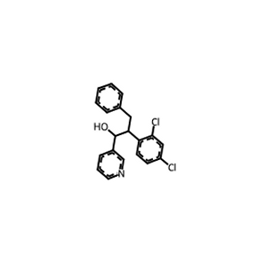 OC(c1cccnc1)C(Cc1ccccc1)c1ccc(Cl)cc1Cl